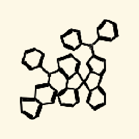 c1ccc(N(c2ccccc2)c2ccc3c(c2)C2(c4ccccc4-3)c3ccccc3-c3c(N(c4ccccc4)c4ccc5ccccc5c4)cccc32)cc1